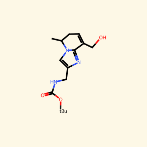 CC1CC=C(CO)c2nc(CNC(=O)OC(C)(C)C)cn21